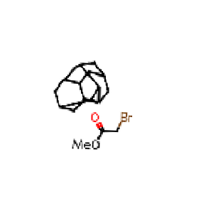 C1C2CC3C4CC5CC(C14)C(C2)C3C5.COC(=O)CBr